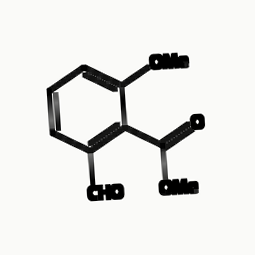 COC(=O)c1c(C=O)cccc1OC